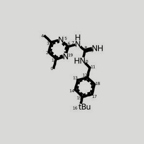 Cc1cc(C)nc(NC(=N)NCc2ccc(C(C)(C)C)cc2)n1